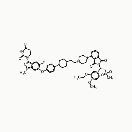 CCOc1cc([C@@H](CS(C)(=O)=O)N2C(=O)c3cccc(N4CCN(CCC5CCN(c6ccc(Oc7cc8c(cc7F)c(N7CCC(=O)NC7=O)nn8C)cc6)CC5)CC4)c3C2=O)ccc1OC